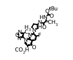 Cc1nonc1-n1cc(C(=O)O)c(=O)c2cc(F)c(N3CCC(NC(=O)[C@H](C)NC(=O)OC(C)(C)C)C3)nc21